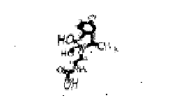 CC1c2cc(Br)ccc2S(O)(O)N1CCNC(=O)O